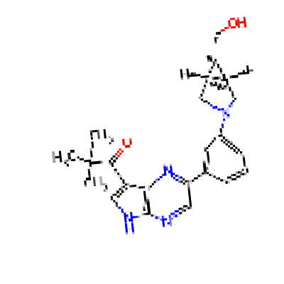 CC(C)(C)C(=O)c1c[nH]c2ncc(-c3cccc(N4C[C@@H]5[C@H](CO)[C@@H]5C4)c3)nc12